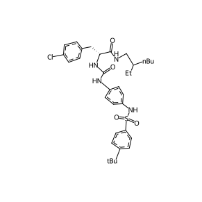 CCCCC(CC)CNC(=O)[C@@H](Cc1ccc(Cl)cc1)NC(=O)Nc1ccc(NS(=O)(=O)c2ccc(C(C)(C)C)cc2)cc1